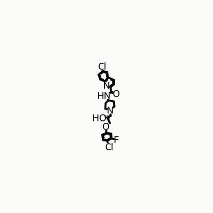 O=C(NC1CCN(C[C@H](O)COc2ccc(Cl)c(F)c2)CC1)c1ccc2cc(Cl)ccc2n1